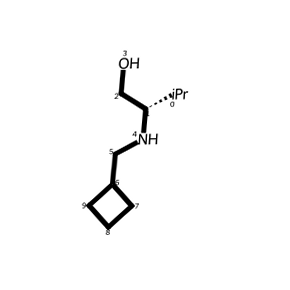 CC(C)[C@@H](CO)NCC1CCC1